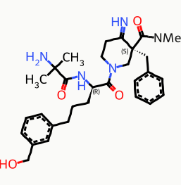 CNC(=O)[C@@]1(Cc2ccccc2)CN(C(=O)[C@@H](CCCc2cccc(CO)c2)NC(=O)C(C)(C)N)CCC1=N